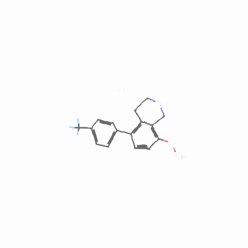 COc1ccc(-c2ccc(C(F)(F)F)cc2)c2c1CNCC2.Cl